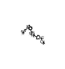 CC(C)(C)OC(=O)N1CCC(c2noc(-c3ccc4cnn(C5CS(=O)(=O)C5)c4c3)n2)CC1